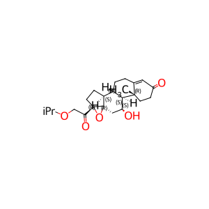 CC(C)OCC(=O)[C@@]12CC[C@H]3[C@@H]4CCC5=CC(=O)CC[C@]5(C)[C@H]4[C@@H](O)C[C@@]31O2